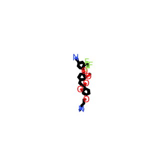 COc1cc(C=C2Oc3cc(OCCCN(C)C)ccc3C2=O)ccc1Oc1ccc(C#N)cc1C(F)(F)F